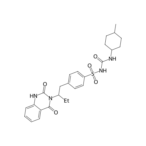 CCC(Cc1ccc(S(=O)(=O)NC(=O)NC2CCC(C)CC2)cc1)n1c(=O)[nH]c2ccccc2c1=O